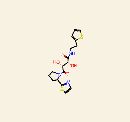 O=C(NCCc1cccs1)[C@H](O)[C@@H](O)C(=O)N1CCCC1c1nccs1